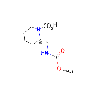 CC(C)(C)OC(=O)NC[C@@H]1CCCCN1C(=O)O